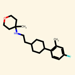 Cc1cc(F)ccc1C1CCC(CCNC2(C)CCOCC2)CC1